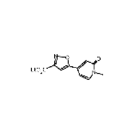 CCOC(=O)c1cc(-c2ccn(C)c(=O)c2)on1